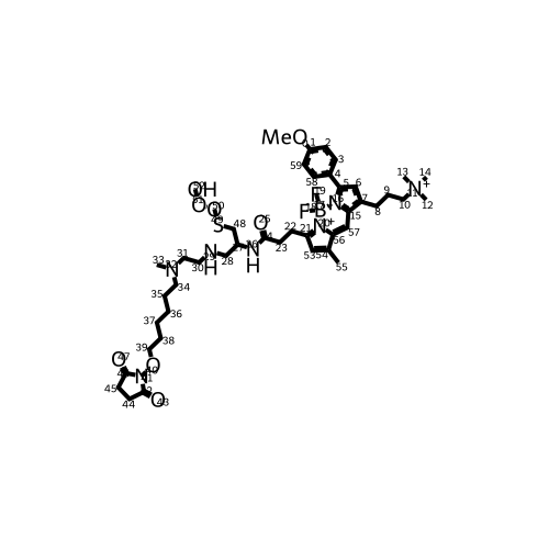 COc1ccc(-c2cc(CCC[N+](C)(C)C)c3n2[B-](F)(F)[N+]2=C(CCC(=O)NC(CNCCN(C)CCCCCCON4C(=O)CCC4=O)CSOOO)C=C(C)C2=C3)cc1